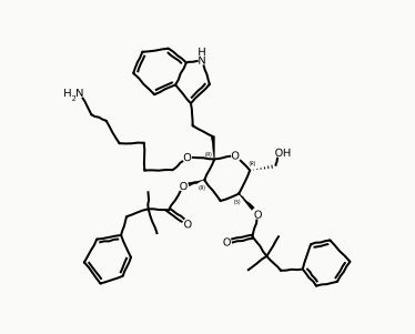 CC(C)(Cc1ccccc1)C(=O)O[C@H]1C[C@@H](OC(=O)C(C)(C)Cc2ccccc2)[C@](CCc2c[nH]c3ccccc23)(OCCCCCCN)O[C@@H]1CO